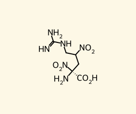 N=C(N)NCC(C[C@](N)(C(=O)O)[N+](=O)[O-])[N+](=O)[O-]